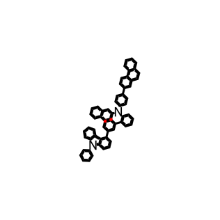 c1ccc(-n2c3ccccc3c3c(-c4cccc(-c5ccccc5N(c5ccc(-c6ccc7c(ccc8ccccc87)c6)cc5)c5ccc6ccccc6c5)c4)cccc32)cc1